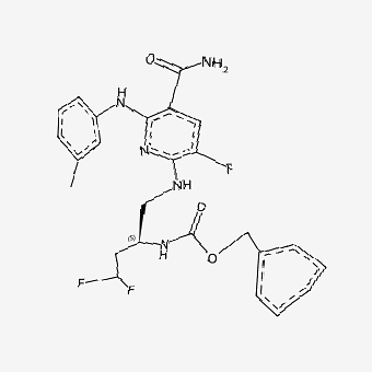 Cc1cccc(Nc2nc(NC[C@H](CC(F)F)NC(=O)OCc3ccccc3)c(F)cc2C(N)=O)c1